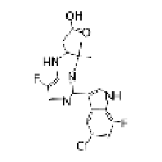 CC(C)(C)C(CC(=O)O)Nc1nc(-c2c[nH]c3c(F)cc(Cl)cc23)ncc1F